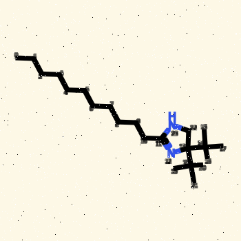 CCCCCCCCCCCC1=NC(C(C)(C)C)(C(C)(C)C)CN1